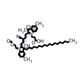 CCCCCCCCCCCCCCCCCCC1(C)\C(=C/C=C(C#N)/C=C/C2=[N+](CCC(=O)O)c3ccc(C)cc3C2(C)C)N(CCOC=O)c2ccc(C)cc21